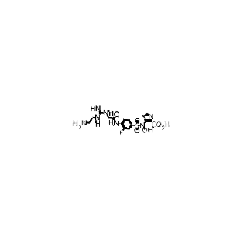 N=C(NCCN)NCC(=O)Nc1ccc(S(=O)(=O)N(O)c2scnc2C(=O)O)cc1F